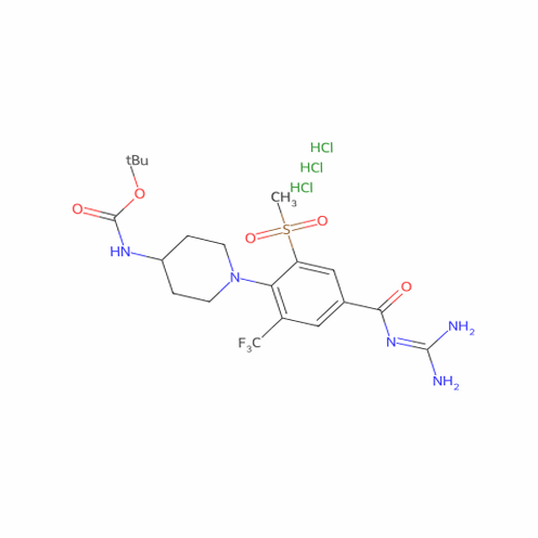 CC(C)(C)OC(=O)NC1CCN(c2c(C(F)(F)F)cc(C(=O)N=C(N)N)cc2S(C)(=O)=O)CC1.Cl.Cl.Cl